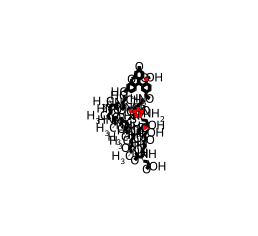 CC(=O)N[C@@H](C(=O)NCC(=O)N[C@H](CCC(=O)O)C(=O)N[C@H](C)C(=O)N[C@H](C)C(=O)N[C@H](C)C(=O)N[C@H](CSC1CC(=O)N(CCNC(=O)c2ccc(C(=O)O)c(-c3c4ccc(=O)cc-4oc4cc(O)ccc34)c2)C1=O)C(=O)N[C@H](C)C(=O)N[C@H](C)C(=O)N[C@H](C)C(=O)N[C@@H](C(=O)NCC(=O)N[C@H](CCC(=O)O)C(N)=O)[C@H](C)O)[C@H](C)O